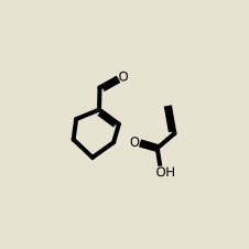 C=CC(=O)O.O=CC1=CCCCC1